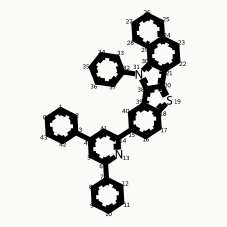 c1ccc(-c2cc(-c3ccccc3)nc(-c3ccc4sc5c6ccc7ccccc7c6n(-c6ccccc6)c5c4c3)c2)cc1